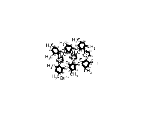 Cc1cc(C)c(N2[C-2]N(c3c(C)cc(C)cc3C)CC2)c(C)c1.Cc1cc(C)c(N2[C-2]N(c3c(C)cc(C)cc3C)CC2)c(C)c1.Cc1cc(C)c(N2[C-2]N(c3c(C)cc(C)cc3C)CC2)c(C)c1.[Ru+6]